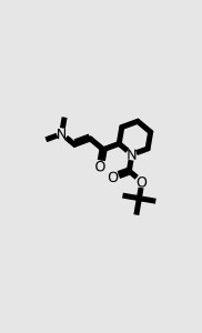 CN(C)C=CC(=O)C1CCCCN1C(=O)OC(C)(C)C